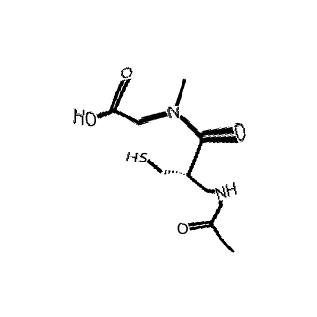 CC(=O)N[C@H](CS)C(=O)N(C)CC(=O)O